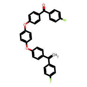 C=C(c1ccc(F)cc1)c1ccc(Oc2ccc(Oc3ccc(C(=O)c4ccc(F)cc4)cc3)cc2)cc1